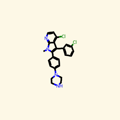 Cn1c(-c2ccc(N3CCNCC3)cc2)c(-c2cccc(Cl)c2)c2c(Cl)ccnc21